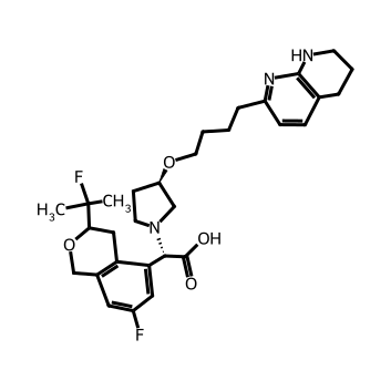 CC(C)(F)C1Cc2c(cc(F)cc2[C@@H](C(=O)O)N2CC[C@@H](OCCCCc3ccc4c(n3)NCCC4)C2)CO1